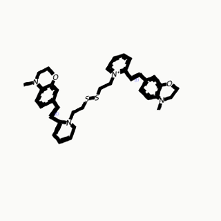 CN1CCOc2cc(/C=C/C3=CC=CCN3CCSSCC[n+]3ccccc3/C=C/c3ccc4c(c3)OCCN4C)ccc21